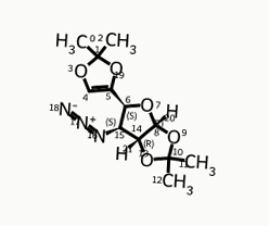 CC1(C)OC=C([C@H]2O[C@@H]3OC(C)(C)O[C@@H]3[C@H]2N=[N+]=[N-])O1